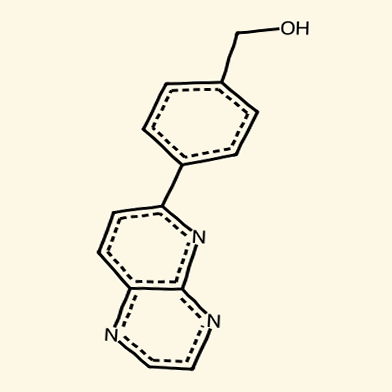 OCc1ccc(-c2ccc3nccnc3n2)cc1